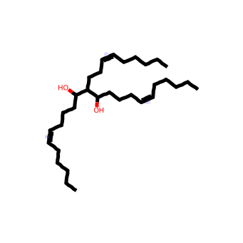 CCCCC/C=C\CCCC(O)C(CC/C=C\CCCCC)C(O)CCC/C=C\CCCCC